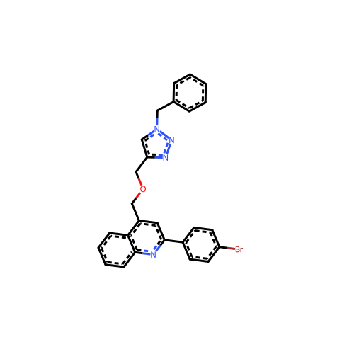 Brc1ccc(-c2cc(COCc3cn(Cc4ccccc4)nn3)c3ccccc3n2)cc1